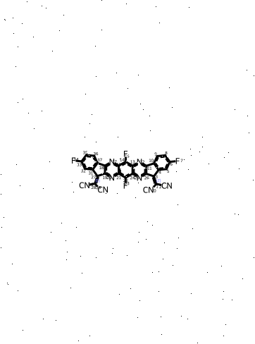 [C-]#[N+]/C(C#N)=C1/c2cc(F)ccc2-c2nc3c(F)c4nc5c(nc4c(F)c3nc21)/C(=C(\C#N)[N+]#[C-])c1cc(F)ccc1-5